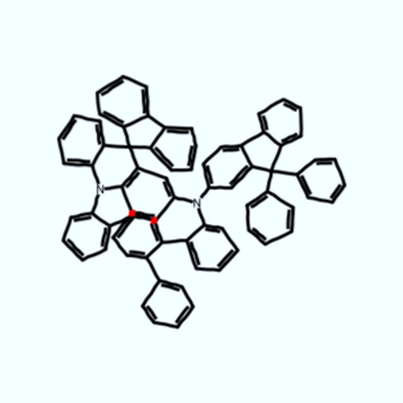 c1ccc(-c2ccccc2-c2ccccc2N(c2ccc3c(c2)C(c2ccccc2)(c2ccccc2)c2ccccc2-3)c2cc3c4c(c2)c2ccccc2n4-c2ccccc2C32c3ccccc3-c3ccccc32)cc1